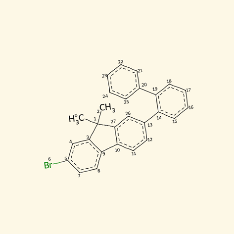 CC1(C)c2cc(Br)ccc2-c2ccc(-c3ccccc3-c3ccccc3)cc21